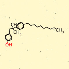 CCCCCCCCCCc1ccc(C(C)(C)Cc2ccc(O)cc2)cc1